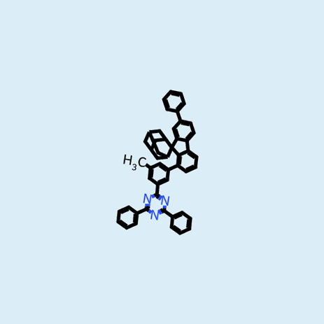 Cc1cc(-c2nc(-c3ccccc3)nc(-c3ccccc3)n2)cc(-c2cccc3c2C2(c4cc(-c5ccccc5)ccc4-3)C3CC4CC(C3)CC2C4)c1